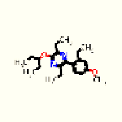 CCc1cc(OC)ccc1-c1nc(CC)c(OC(CC)CC)nc1CC